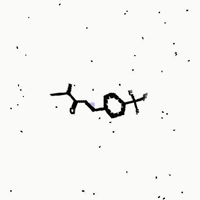 CC(C)C(=O)/C=C/c1ccc(C(F)(F)F)cc1